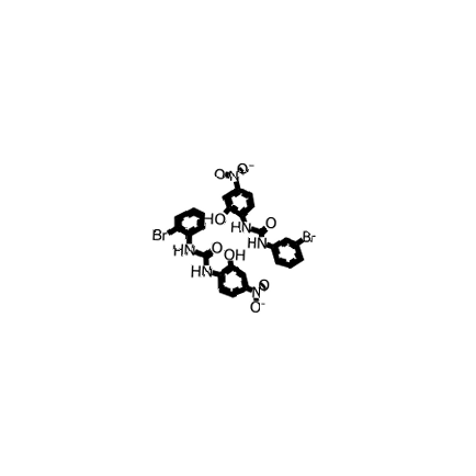 O=C(Nc1ccc([N+](=O)[O-])cc1O)Nc1ccccc1Br.O=C(Nc1cccc(Br)c1)Nc1ccc([N+](=O)[O-])cc1O